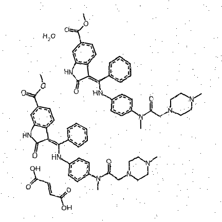 COC(=O)c1ccc2c(c1)NC(=O)/C2=C(\Nc1ccc(N(C)C(=O)CN2CCN(C)CC2)cc1)c1ccccc1.COC(=O)c1ccc2c(c1)NC(=O)/C2=C(\Nc1ccc(N(C)C(=O)CN2CCN(C)CC2)cc1)c1ccccc1.O.O=C(O)/C=C/C(=O)O